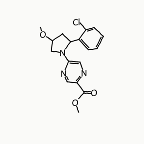 COC(=O)c1cnc(N2CC(OC)CC2c2ccccc2Cl)cn1